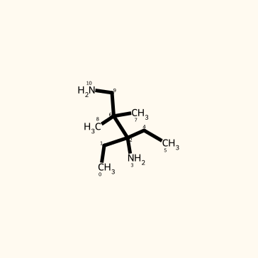 CCC(N)(CC)C(C)(C)CN